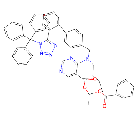 CCCCN(Cc1ccc(-c2ccccc2-c2nnnn2C(c2ccccc2)(c2ccccc2)c2ccccc2)cc1)c1ncncc1C(=O)OC(C)OC(=O)c1ccccc1